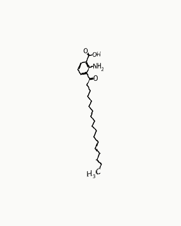 CCCCCCCCCCCCCCCCCC(=O)c1cccc(C(=O)O)c1N